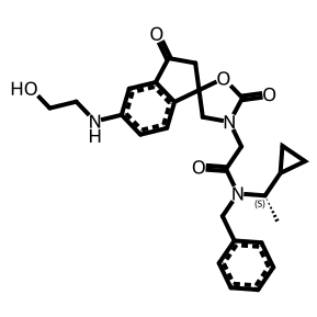 C[C@@H](C1CC1)N(Cc1ccccc1)C(=O)CN1CC2(CC(=O)c3cc(NCCO)ccc32)OC1=O